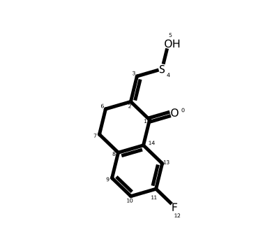 O=C1/C(=C\SO)CCc2ccc(F)cc21